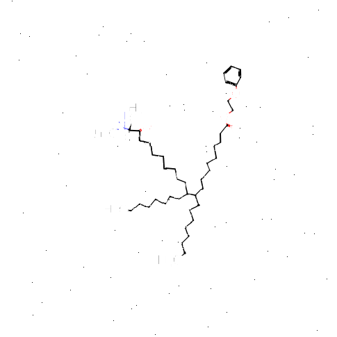 CCCCCCCCC(CCCCCCCCC(=O)OCCOc1ccccc1)C(CCCCCCCC)CCCCCCCCC(=O)C(C)(C)NC